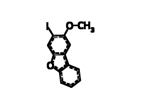 COc1cc2c(cc1I)oc1ccccc12